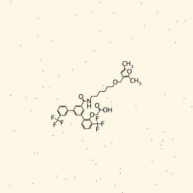 Cc1cc(COCCCCCCNC(=O)c2cc(-c3cccc(C(F)(F)F)c3)cc(-c3cccc(C(F)(F)F)c3OCC(=O)O)c2)c(C)o1